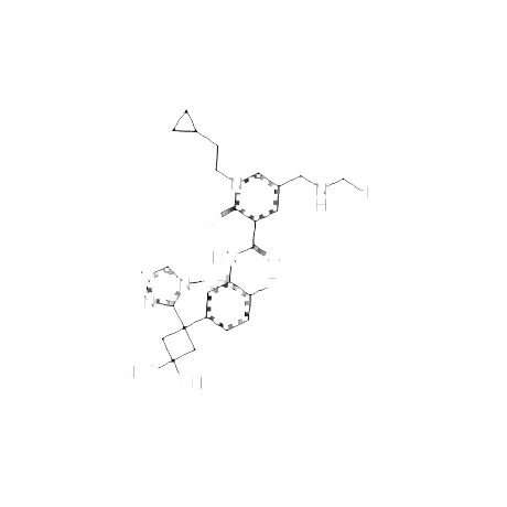 CC(C)CNCc1cc(C(=O)Nc2cc(C3(c4nncn4C)CC(C)(C)C3)ccc2F)c(=O)n(CCC2CC2)c1